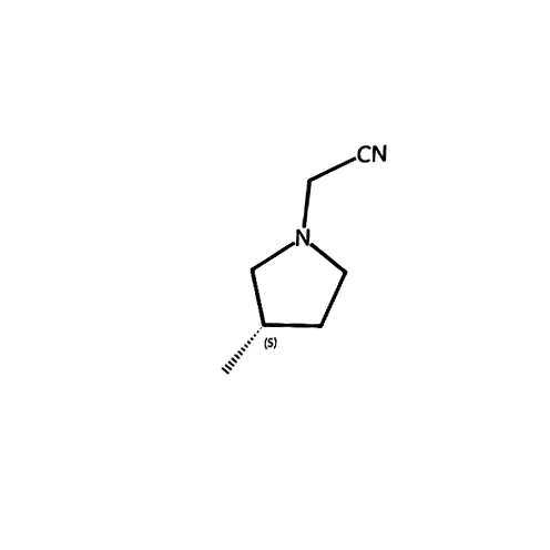 C[C@H]1CCN(CC#N)C1